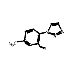 Cc1ccc(-n2ccnn2)c(I)c1